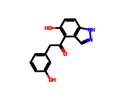 O=C(Cc1cccc(O)c1)c1c(O)ccc2[nH]ncc12